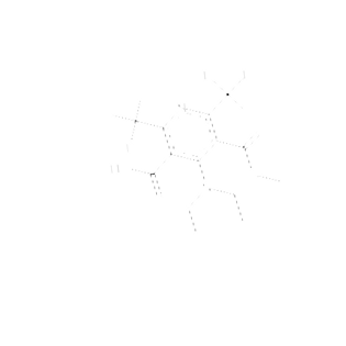 CCN(CC)c1c(C(=O)O)c(C(F)(F)F)nc(C(F)(F)Cl)c1C(=O)OC